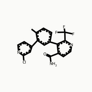 Cc1ccc(-c2c(C(N)=O)ccnc2C(F)(F)F)cc1-c1ccnc(Cl)c1